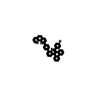 Fc1ccc(-c2nc3c(-c4ccc(-c5ccc6ccc7cccnc7c6n5)cc4)cccc3c3c4ccccc4c4ccccc4c23)cc1